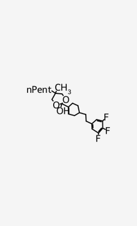 CCCCCC1(C)COC(O)(C2CCC(CCc3cc(F)c(F)c(F)c3)CC2)OC1